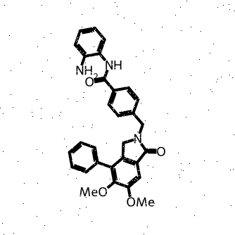 COc1cc2c(c(-c3ccccc3)c1OC)CN(Cc1ccc(C(=O)Nc3ccccc3N)cc1)C2=O